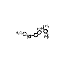 C=C(Nc1cc2cc(-c3cnn(C4CCN(C)CC4)c3)ccc2cn1)c1ccc(CC(F)F)cc1